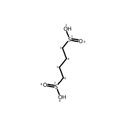 O=S(O)CCCCS(=O)O